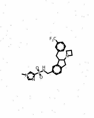 Cn1cnc(S(=O)(=O)NCc2ccc3c(c2)C(Cc2cccc(C(F)(F)F)c2)C(N2CCC2)C3)c1